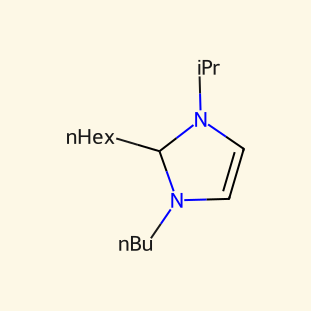 CCCCCCC1N(CCCC)C=CN1C(C)C